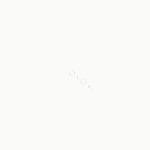 CCCCCCCCCCOc1ccc(C=Nc2ccc(/C=C/C(=O)OC[C@@H](C)CC)cc2)cc1